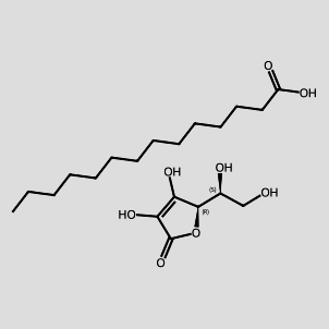 CCCCCCCCCCCCCC(=O)O.O=C1O[C@H]([C@@H](O)CO)C(O)=C1O